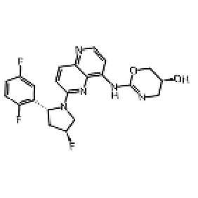 O[C@H]1CN=C(Nc2ccnc3ccc(N4C[C@@H](F)C[C@@H]4c4cc(F)ccc4F)nc23)OC1